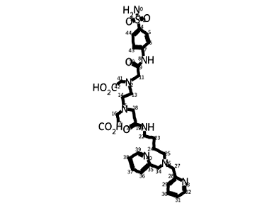 NS(=O)(=O)c1ccc(NC(=O)CN(CCN(CC(=O)O)CC(=O)NCCCCN(Cc2ccccn2)Cc2ccccn2)CC(=O)O)cc1